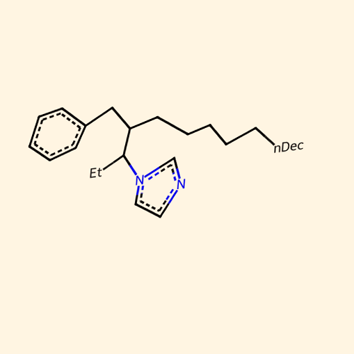 CCCCCCCCCCCCCCCC(Cc1ccccc1)C(CC)n1ccnc1